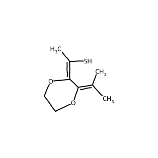 CC(C)=C1OCCO/C1=C(\C)S